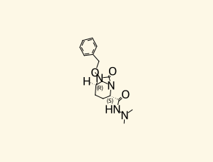 CN(C)NC(=O)[C@@H]1CC[C@@H]2CN1C(=O)N2OCc1ccccc1